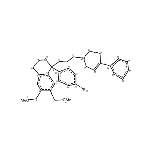 COCc1cc2c(cc1COC)C(CCCN1CC=C(c3ccccc3)CC1)(c1ccc(F)cc1)OCC2